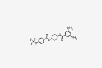 Nc1cc(N)cc(C(=O)OC2CCC(OC(=O)c3ccc(OC(F)(F)F)cc3)CC2)c1